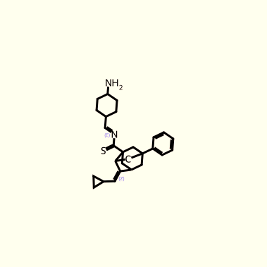 NC1CCC(/C=N/C(=S)C23CC4CC(c5ccccc5)(CC2/C4=C\C2CC2)C3)CC1